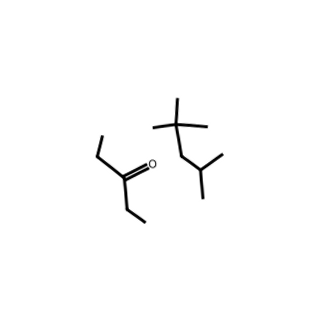 CC(C)CC(C)(C)C.CCC(=O)CC